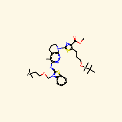 COC(=O)c1nc(N2CCCc3c2nnc(/N=c2\sc4ccccc4n2COCC[Si](C)(C)C)c3C)sc1CCCO[Si](C)(C)C(C)(C)C